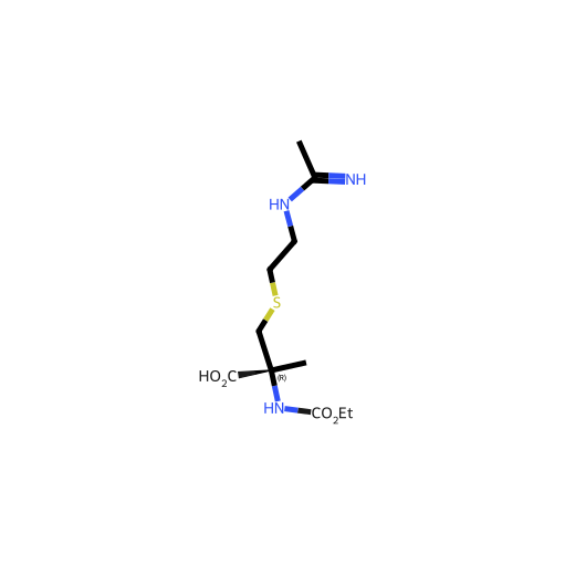 CCOC(=O)N[C@@](C)(CSCCNC(C)=N)C(=O)O